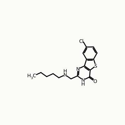 CCCCCNCc1nc2c(sc3ccc(Cl)cc32)c(=O)[nH]1